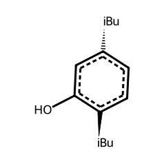 CC[C@@H](C)c1ccc([C@H](C)CC)c(O)c1